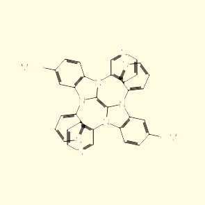 COc1ccc2c(c1)N(c1cccnc1)/C(=C1\N(c3cccnc3)c3ccc(OC)cc3N1c1cccnc1)N2c1cccnc1